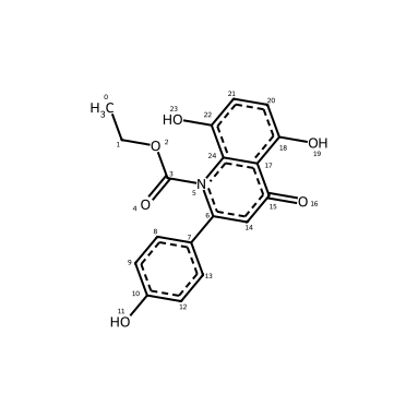 CCOC(=O)n1c(-c2ccc(O)cc2)cc(=O)c2c(O)ccc(O)c21